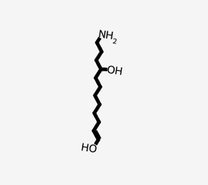 NCCCC(O)CCCCCCC=CO